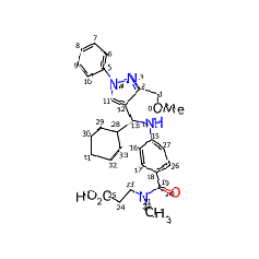 COCc1nn(-c2ccccc2)cc1C(Nc1ccc(C(=O)N(C)CCC(=O)O)cc1)C1CCCCC1